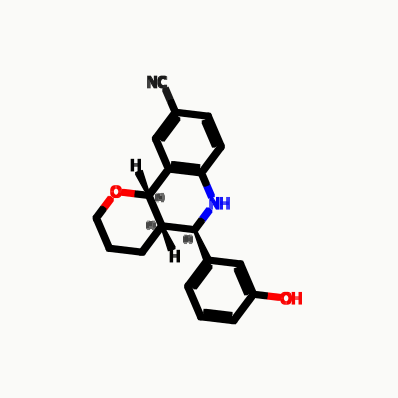 N#Cc1ccc2c(c1)[C@H]1OCCC[C@H]1[C@H](c1cccc(O)c1)N2